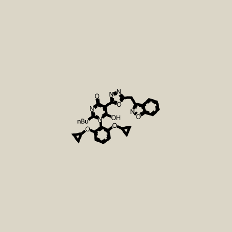 CCCCc1nc(=O)c(-c2nnc(Cc3noc4ccccc34)o2)c(O)n1-c1c(OC2CC2)cccc1OC1CC1